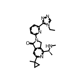 CCn1cnnc1-c1cccc(N2Cc3c(cc(C4(C)CC4)nc3[C@H](C)NC)C2=O)n1